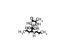 C=CCNC(CCC)C(N)(O)O.CC(O)C(=O)O